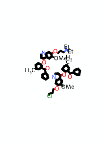 CCN(CC)CCCOc1cc2nccc(Oc3ccc(C)cc3C(=O)c3ccccc3)c2cc1OC.COc1cc2c(Oc3ccc(C)cc3C(=O)c3ccccc3)ccnc2cc1OCCCCl